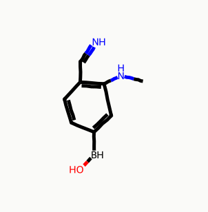 CNc1cc(BO)ccc1C=N